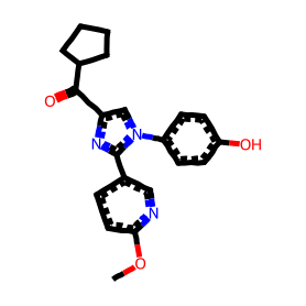 COc1ccc(-c2nc(C(=O)C3CCCC3)cn2-c2ccc(O)cc2)cn1